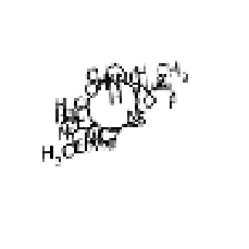 CCn1c(-c2cccnc2[C@H](C)OC)c2c3cc(ccc31)-c1csc(n1)C[C@H](NC(=O)[C@H]1[C@H](C)[C@@H]1CF)C(=O)N1CCC[C@H](N1)C(=O)OCC(C)(C)C2